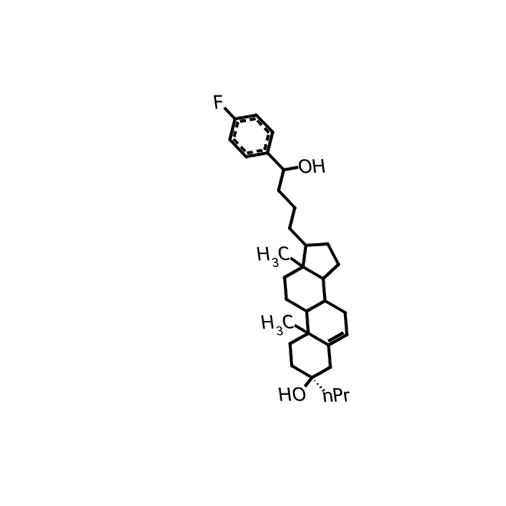 CCC[C@]1(O)CCC2(C)C(=CCC3C2CCC2(C)C(CCCC(O)c4ccc(F)cc4)CCC32)C1